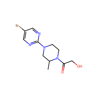 CC1CN(c2ncc(Br)cn2)CCN1C(=O)CO